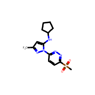 CS(=O)(=O)c1ccc(-n2nc(C(F)(F)F)cc2NC2CCCC2)nn1